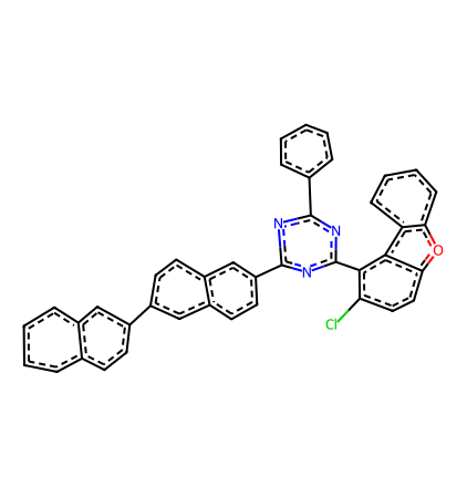 Clc1ccc2oc3ccccc3c2c1-c1nc(-c2ccccc2)nc(-c2ccc3cc(-c4ccc5ccccc5c4)ccc3c2)n1